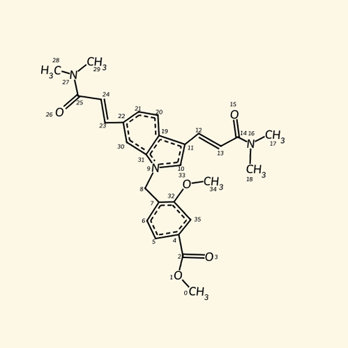 COC(=O)c1ccc(Cn2cc(C=CC(=O)N(C)C)c3ccc(C=CC(=O)N(C)C)cc32)c(OC)c1